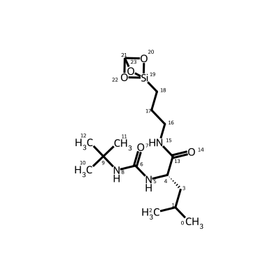 CC(C)C[C@H](NC(=O)NC(C)(C)C)C(=O)NCCC[Si]12OC(O1)O2